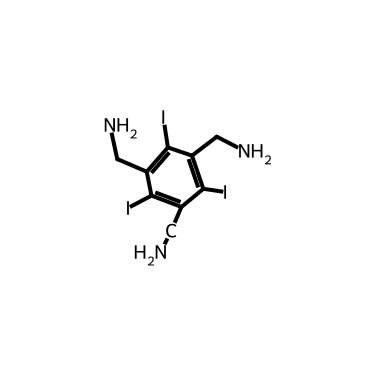 NCc1c(I)c(CN)c(I)c(CN)c1I